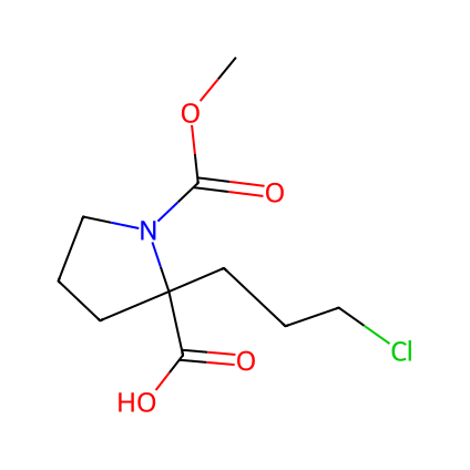 COC(=O)N1CCCC1(CCCCl)C(=O)O